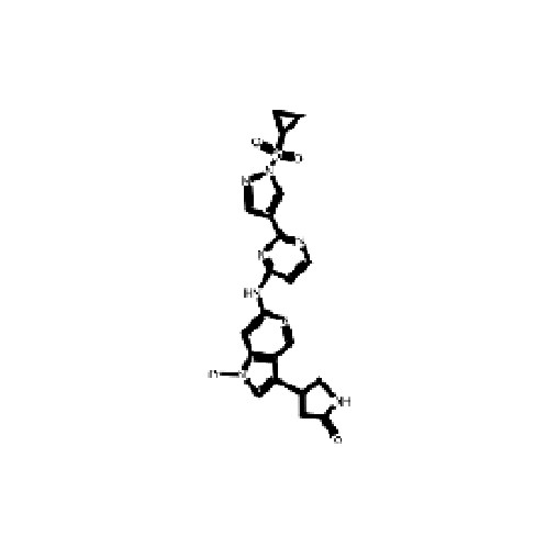 CC(C)n1cc(C2CNC(=O)C2)c2cnc(Nc3ccnc(-c4cnn(S(=O)(=O)C5CC5)c4)n3)cc21